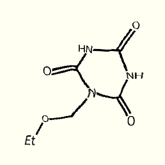 CCOCn1c(=O)[nH]c(=O)[nH]c1=O